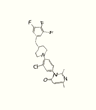 Cc1cc(=O)n(-c2ccc(N3CCC(Cc4cc(F)c(F)c(F)c4)CC3)c(Cl)c2)c(C)n1